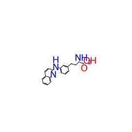 N[C@@H](CCc1cccc(Nc2ccc3ccccc3n2)c1)C(=O)O